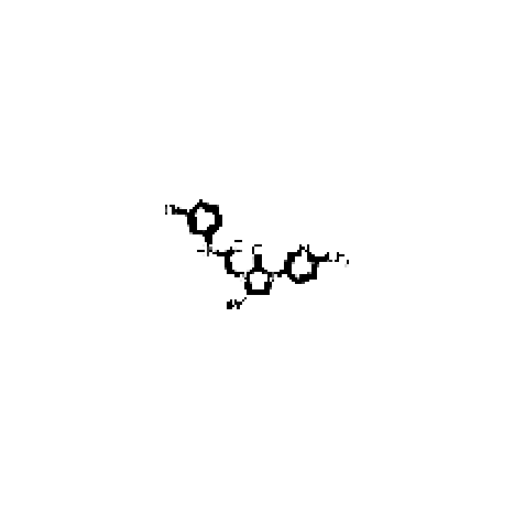 CC(C)[C@H]1CN(c2ccc(C(F)(F)F)nc2)C(=O)N1CC(=O)Nc1cccc(Cl)c1